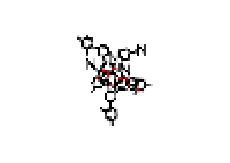 Cc1ccc(-c2ccc3c(c2)c2cc(-c4ccc(C)cc4C)ccc2n3-c2ccc(C#N)cc2-c2nc(-c3ccccc3)nc(-c3cc(C#N)ccc3-n3c4ccc(-c5ccc(C)cc5C)cc4c4cc(-c5ccc(C)cc5C)ccc43)n2)c(C)c1